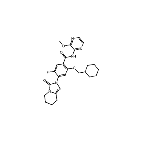 COc1nccnc1NC(=O)c1cc(F)c(-n2nc3n(c2=O)CCCC3)cc1OCC1CCCCC1